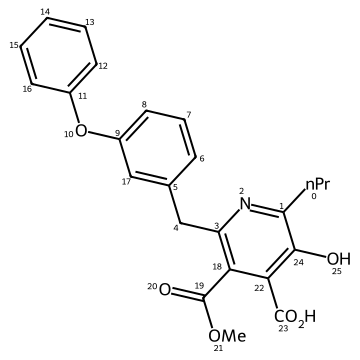 CCCc1nc(Cc2cccc(Oc3ccccc3)c2)c(C(=O)OC)c(C(=O)O)c1O